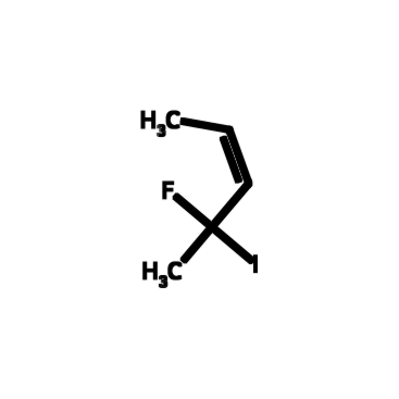 C/C=C\C(C)(F)I